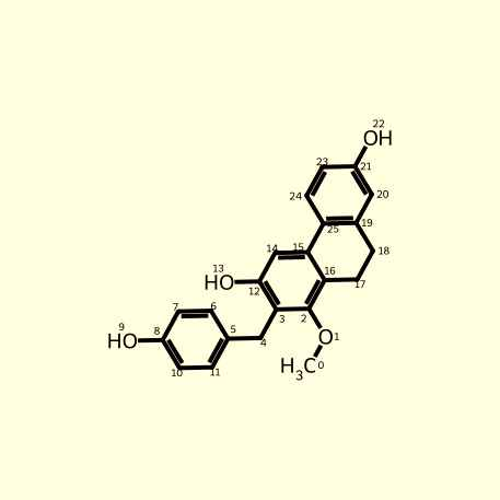 COc1c(Cc2ccc(O)cc2)c(O)cc2c1CCc1cc(O)ccc1-2